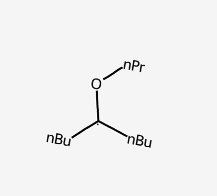 CCCC[C](CCCC)OCCC